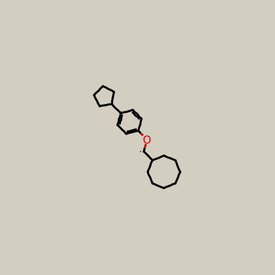 [CH](Oc1ccc(C2CCCC2)cc1)C1CCCCCCC1